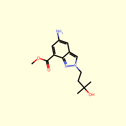 COC(=O)c1cc(N)cc2cn(CCC(C)(C)O)nc12